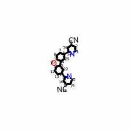 N#Cc1ccnc(-c2ccc3oc4ccc(-c5cc(C#N)ccn5)cc4c3c2)c1